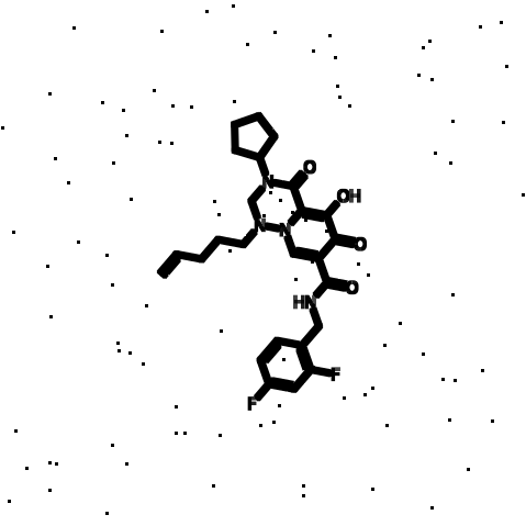 C=CCCCN1CN(C2CCCC2)C(=O)c2c(O)c(=O)c(C(=O)NCc3ccc(F)cc3F)cn21